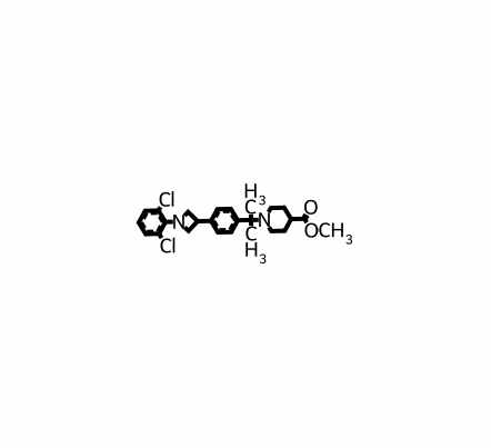 COC(=O)C1CCN(C(C)(C)c2ccc(C3CN(c4c(Cl)cccc4Cl)C3)cc2)CC1